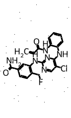 C=CC(=O)Nc1ccccc1Nc1nc(Nc2cc(C(N)=O)ccc2CF)ncc1Cl